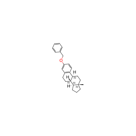 C[C@@]12CCC[C@H]1[C@@H]1CCc3cc(OCc4ccccc4)ccc3[C@H]1CC2